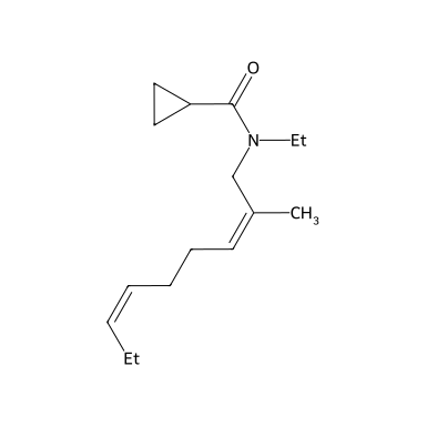 CC/C=C\CC/C=C(/C)CN(CC)C(=O)C1CC1